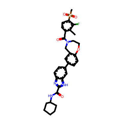 Cc1c(C(=O)N2CCOc3ccc(-c4ccc5nc(C(=O)NC6CCCCC6)[nH]c5c4)cc3C2)ccc(S(C)(=O)=O)c1F